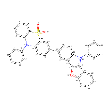 O=S1(=O)c2ccccc2N(c2ccccc2)c2ccc(-c3ccc4c(c3)c3oc5ccccc5c3n4-c3ccccc3)cc21